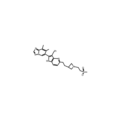 Cc1c(-c2[nH]c3ccc(CCC4CN(CCS(C)(=O)=O)C4)nc3c2C(C)C)cn2ncnc2c1C